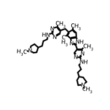 Cc1cc2[nH]c(-c3cnc(NCCCC4CCN(C)CC4)nc3C)nc2c(C)c1Cc1cnc(NCCCC2CCN(C)CC2)nc1C